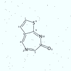 O=c1cncc2ccsc2n1